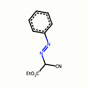 CCOC(=O)C(C#N)N=Nc1ccccc1